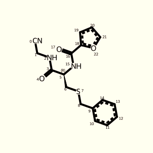 N#CCNC(=O)[C@H](CSCc1ccccc1)NC(=O)c1ccco1